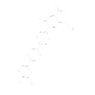 COc1cc(N2CCN(C3CCN(c4ccc(Cl)c(F)c4)CC3)CC2)c(F)cc1[N+](=O)[O-]